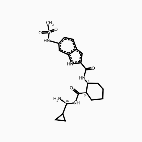 CS(=O)(=O)Nc1ccc2cc(C(=O)N[C@H]3CCCC[C@H]3C(=O)N[C@H](N)C3CC3)[nH]c2c1